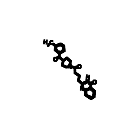 Cc1cccc(C(=O)C2CCN(C(=O)CCCc3nc4ccccc4c(=O)[nH]3)CC2)c1